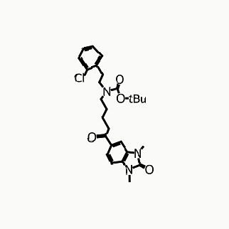 Cn1c(=O)n(C)c2cc(C(=O)CCCCN(CCc3ccccc3Cl)C(=O)OC(C)(C)C)ccc21